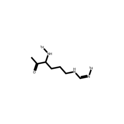 [2H]/N=C\NCCCC(N[2H])C(C)=O